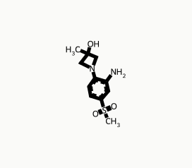 CC1(O)CN(c2ccc(S(C)(=O)=O)cc2N)C1